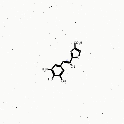 N#C/C(=C\c1cc(N)c(O)c(O)c1)c1nc(C(=O)O)cs1